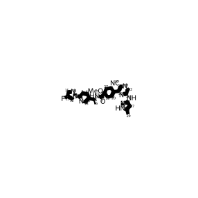 COC1(C(=O)N[C@@H](C)c2ccc(-n3cc(F)cn3)nc2)CC=C(c2nc(Nc3cc(C)[nH]n3)cnc2C#N)CC1